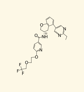 CCc1ncc(-c2cccc3c2C[C@H](NC(=O)c2ccc(OCCOCC(F)(F)F)nc2)CO3)cn1